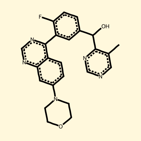 Cc1cncnc1C(O)c1ccc(F)c(-c2ncnc3cc(N4CCOCC4)ccc23)c1